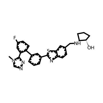 Cn1cnnc1-c1cc(F)ccc1-c1cccc(-c2nc3ccc(CN[C@@H]4CCC[C@@H]4O)cc3s2)c1